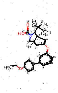 CCOc1ccc(-c2cccc(O[C@H]3C[C@H]4CN(C(=O)O)C(C(C)(C)C)[C@H]4C3)c2)cc1